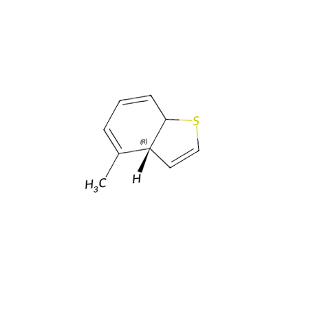 CC1=CC=CC2SC=C[C@H]12